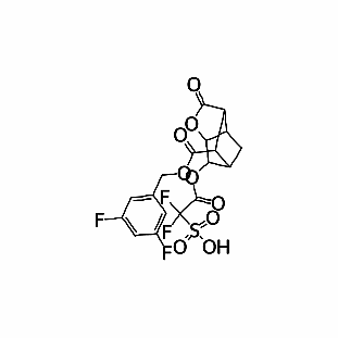 O=C1OC2C3CC(C2OC(=O)C(F)(F)S(=O)(=O)O)C(C(=O)OCc2cc(F)cc(F)c2)C13